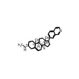 CN[C@@H]1CC[C@@]2(C)C(=CC[C@H]3[C@@H]4CC[C@H](c5ccc6ccncc6c5)[C@@]4(C)CC[C@@H]32)C1